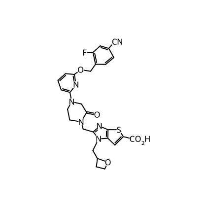 N#Cc1ccc(COc2cccc(N3CCN(Cc4nc5sc(C(=O)O)cc5n4CC4CCO4)C(=O)C3)n2)c(F)c1